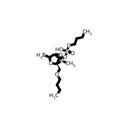 BC1O[C@]2(COCCCC)C(OP(=O)(O)OCCCC)C1ON2C